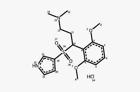 COc1cccc(OC)c1C(CCN(C)C)S(=O)(=O)c1cc[nH]c1.Cl